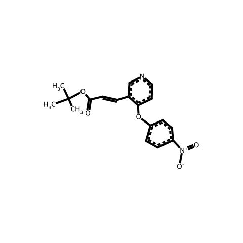 CC(C)(C)OC(=O)C=Cc1cnccc1Oc1ccc([N+](=O)[O-])cc1